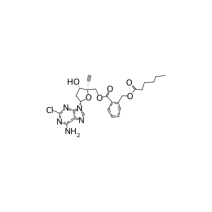 C#C[C@]1(COC(=O)c2ccccc2COC(=O)CCCCC)O[C@@H](n2cnc3c(N)nc(Cl)nc32)C[C@@H]1O